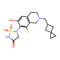 O=C1CN(c2c(O)cc3c(c2F)CN(CC2CC4(CC4)C2)CC3)S(=O)(=O)N1